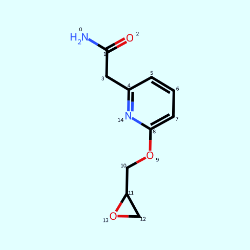 NC(=O)Cc1cccc(OCC2CO2)n1